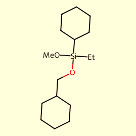 CC[Si](OC)(OCC1CCCCC1)C1CCCCC1